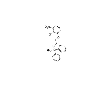 CC(C)(C)[Si](OCCOc1cccc([N+](=O)[O-])c1Cl)(c1ccccc1)c1ccccc1